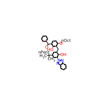 CCCCCCCCOc1ccc(C(=O)c2ccccc2)c(O)c1Cc1cc(C(C)(C)CCCCC)cc(-n2nc3ccccc3n2)c1O